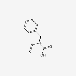 O=C(O)[C@H](Cc1ccccc1)N=S